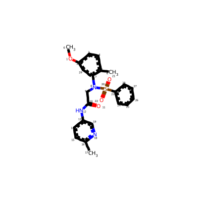 COc1ccc(C)c(N(CC(=O)Nc2ccc(C)nc2)S(=O)(=O)c2ccccc2)c1